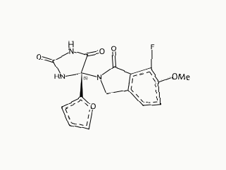 COc1ccc2c(c1F)C(=O)N([C@]1(c3ccco3)NC(=O)NC1=O)C2